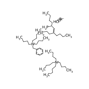 CCCCC(=CC(P)CCCC)CCCC.CCCC[N+](CCCC)(CCCC)CCCC.CCCC[N+](CCCC)(CCCC)Cc1ccccc1.Cl.[Br-].[Cl-]